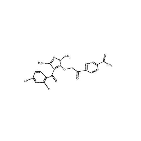 CC(=O)c1ccc(C(=O)COc2c(C(=O)c3ccc(Cl)cc3Cl)c(C)nn2C)cc1